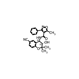 Cc1onc(-c2ccccc2)c1C(=O)N[C@@H]1c2cc(C#N)ccc2OC(C)(C)[C@H]1O